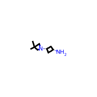 CC1(C)CN([C@H]2C[C@@H](N)C2)C1